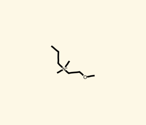 CCC[N+](C)(C)CCOC